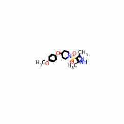 COc1ccc(OC2CCN(S(=O)(=O)c3c(C)n[nH]c3C)CC2)cc1